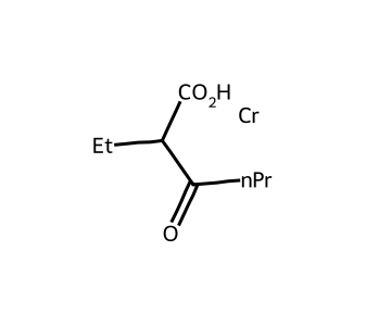 CCCC(=O)C(CC)C(=O)O.[Cr]